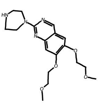 COCCOc1cc2cnc(N3CCNCC3)nc2cc1OCCOC